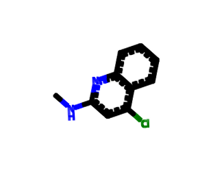 CNc1cc(Cl)c2ccccc2n1